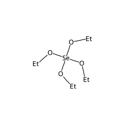 CCO[Se](OCC)(OCC)OCC